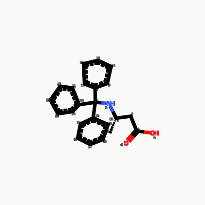 C[C@@H](CC(=O)O)NC(c1ccccc1)(c1ccccc1)c1ccccc1